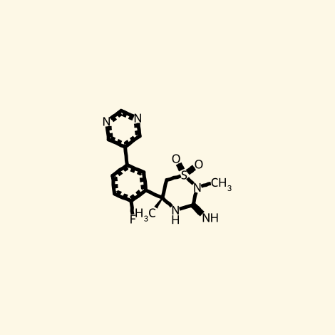 CN1C(=N)N[C@](C)(c2cc(-c3cncnc3)ccc2F)CS1(=O)=O